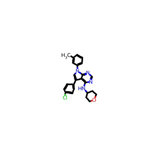 Cc1cccc(-n2cc(-c3ccc(Cl)cc3)c3c(NC4CCOCC4)ncnc32)c1